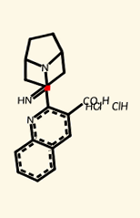 Cl.Cl.N=CN1C2CCC1CC(c1nc3ccccc3cc1C(=O)O)C2